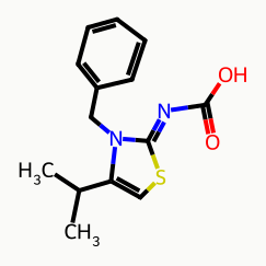 CC(C)c1csc(=NC(=O)O)n1Cc1ccccc1